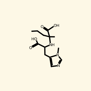 CCCC(C)(NC(Cc1cncn1C)C(=O)O)C(=O)O